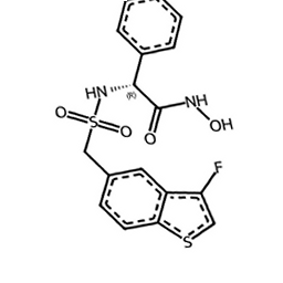 O=C(NO)[C@H](NS(=O)(=O)Cc1ccc2scc(F)c2c1)c1ccccc1